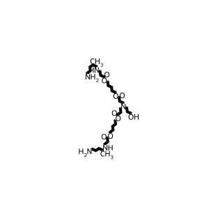 CC(CCCN)CNCCC(=O)OCCCCCOC(=O)CCN(CCCO)CCC(=O)OCCCCCOC(=O)CCNC(C)CCCN